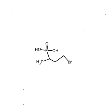 CC(CCBr)P(=O)(O)O